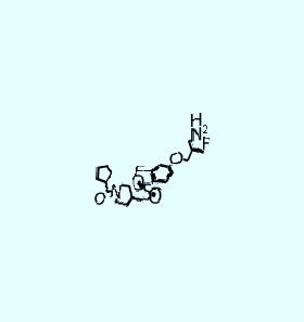 NC/C(=C\F)COc1ccc(S(=O)(=O)CC2CCN(C(=O)C3CCCC3)CC2)c(F)c1